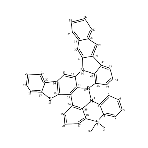 C[Si]1(C)c2ccccc2N2B3c4c(cc5c(sc6ccccc65)c4-c4cccc1c42)-n1c2cc4ccccc4cc2c2cccc3c21